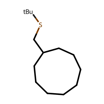 CC(C)(C)SCC1CCCCCCCC1